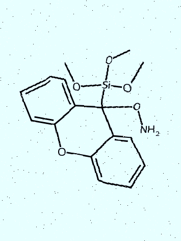 CO[Si](OC)(OC)C1(ON)c2ccccc2Oc2ccccc21